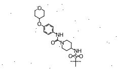 CC(C)(C)S(=O)(=O)NC1CCN(C(=O)Nc2ccc(OC3CCOCC3)cc2)CC1